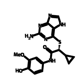 COc1cc(NC(=O)[C@H](Sc2nc(N)nc3nc[nH]c23)C2CC2)ccc1O